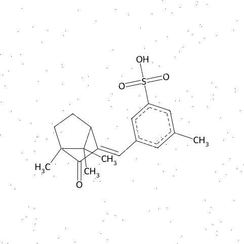 Cc1cc(/C=C2/C(=O)C3(C)CCC2C3(C)C)cc(S(=O)(=O)O)c1